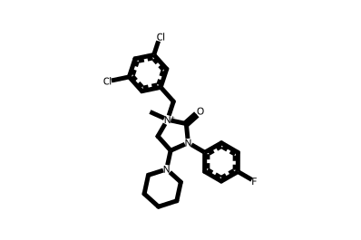 C[N+]1(Cc2cc(Cl)cc(Cl)c2)CC(N2CCCCC2)N(c2ccc(F)cc2)C1=O